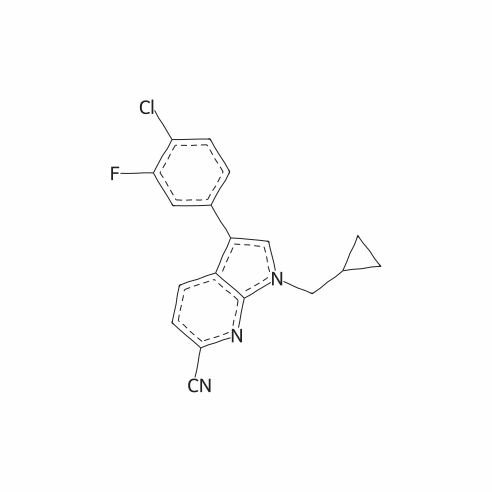 N#Cc1ccc2c(-c3ccc(Cl)c(F)c3)cn(CC3CC3)c2n1